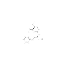 CCc1ccc(N=C(C)C=Nc2ccccc2)cc1CC.[Ni]